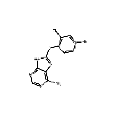 Nc1ncnc2[nH]c(Sc3ccc(Br)cc3Cl)nc12